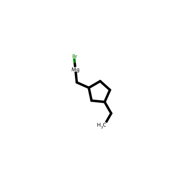 CCC1CCC([CH2][Mg][Br])C1